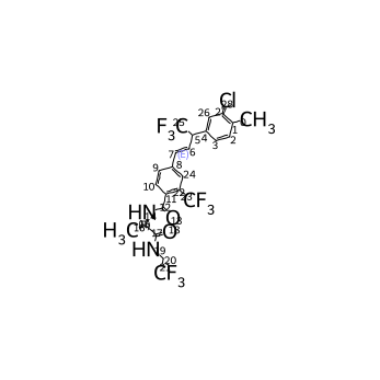 Cc1ccc(C(/C=C/c2ccc(C(=O)N[C@H](C)C(=O)NCC(F)(F)F)c(C(F)(F)F)c2)C(F)(F)F)cc1Cl